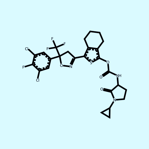 O=C(NC1CCN(C2CC2)C1=O)Oc1sc(C2=NOC(c3cc(Cl)c(F)c(Cl)c3)(C(F)(F)F)C2)c2c1CCCC2